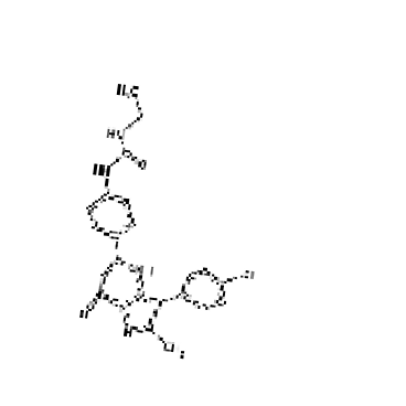 CCNC(=O)Nc1ccc(-c2cc(=O)n3nc(C)c(-c4ccc(Cl)cc4)c3[nH]2)cc1